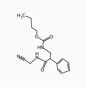 CCCCOC(=O)NCC(C(=O)NCC#N)c1ccccc1